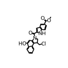 COC(=O)c1ccc2[nH]c(C(=O)N3CC(CCl)c4c3cc(O)c3ccccc43)cc2c1